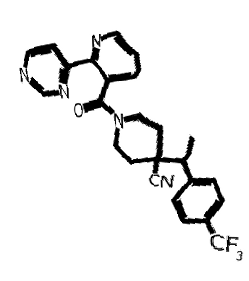 CC(c1ccc(C(F)(F)F)cc1)C1(C#N)CCN(C(=O)c2cccnc2-c2ccncn2)CC1